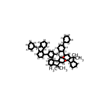 CC1(C)c2ccccc2-c2ccc(-c3cc(-c4ccccc4)ccc3N(c3ccc(-c4cccc5c4c4ccccc4n5-c4ccccc4)cc3)c3cccc4c3-c3ccccc3C4(C)C)cc21